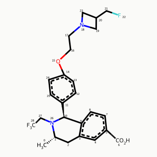 C[C@H]1Cc2cc(C(=O)O)ccc2[C@H](c2ccc(OCCN3CC(CF)C3)cc2)N1CC(F)(F)F